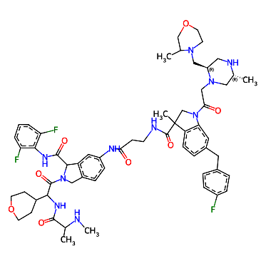 CNC(C)C(=O)NC(C(=O)N1Cc2ccc(NC(=O)CCNC(=O)C3(C)CN(C(=O)CN4C[C@@H](C)NC[C@@H]4CN4CCOCC4C)c4cc(Cc5ccc(F)cc5)ccc43)cc2C1C(=O)Nc1c(F)cccc1F)C1CCOCC1